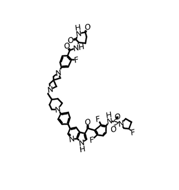 O=C1CC[C@H](NC(=O)c2ccc(N3CC4(CN(CC5CCN(c6ccc(-c7cnc8[nH]cc(C(=O)c9c(F)ccc(NS(=O)(=O)N%10CC[C@@H](F)C%10)c9F)c8c7)cc6)CC5)C4)C3)cc2F)C(=O)N1